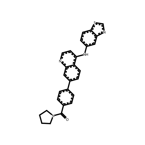 O=C(c1ccc(-c2ccc3c(Nc4ccc5scnc5c4)ccnc3c2)cc1)N1CCCC1